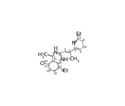 C=C(NC(=N)/C=C(\C)C1=CCCC(CC)=N1)c1cc(CC)ccc1Cl